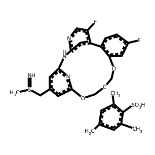 CS(=N)Cc1cc2nc(c1)OCCCOc1cc(F)ccc1-c1cc(ncc1F)N2.Cc1cc(C)c(S(=O)(=O)O)c(C)c1